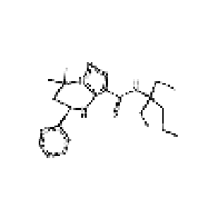 CCCC(CC)(CC)NC(=O)c1cnn2c1N[C@@H](c1ccccc1)CC2(C)C